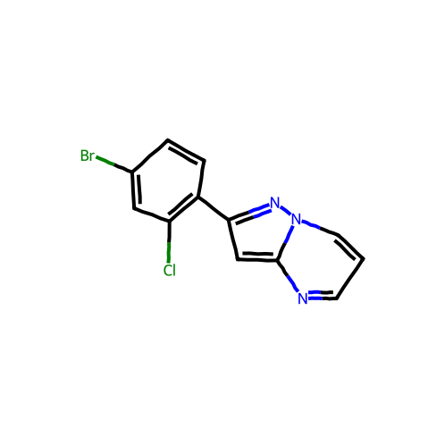 Clc1cc(Br)ccc1-c1cc2ncccn2n1